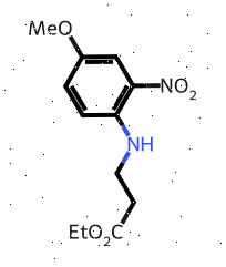 CCOC(=O)CCNc1ccc(OC)cc1[N+](=O)[O-]